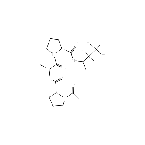 CC(=O)N1CCC[C@H]1C(=O)N[C@@H](C)C(=O)N1CCC[C@H]1C(=O)NC(C)C(O)(O)C(F)(F)F